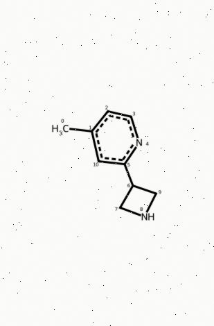 Cc1ccnc(C2CNC2)c1